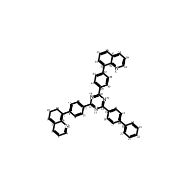 C1=c2cccnc2=C(c2ccc(-c3nc(-c4ccc(-c5ccccc5)cc4)nc(-c4ccc(-c5cccc6cccnc56)cc4)n3)cc2)CC1